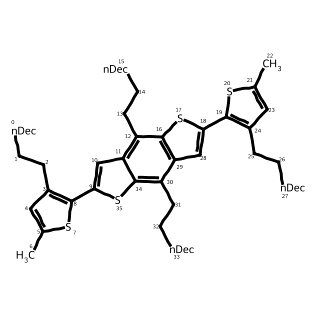 CCCCCCCCCCCCc1cc(C)sc1-c1cc2c(CCCCCCCCCCCC)c3sc(-c4sc(C)cc4CCCCCCCCCCCC)cc3c(CCCCCCCCCCCC)c2s1